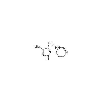 CC(C)(C)c1n[nH]c(C2C=CN=CN2)c1C(F)(F)F